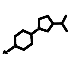 CC(=O)N1CCC(N2CCC(N(C)C)C2)CC1